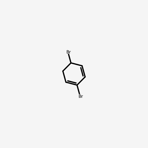 BrC1=CCC(Br)C=C1